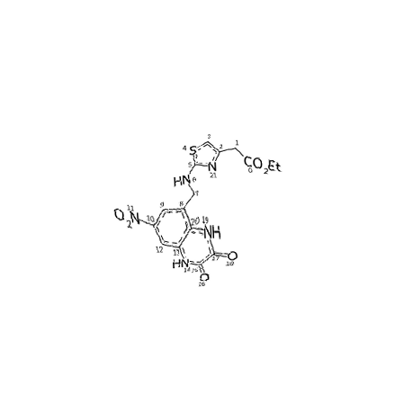 CCOC(=O)Cc1csc(NCc2cc([N+](=O)[O-])cc3[nH]c(=O)c(=O)[nH]c23)n1